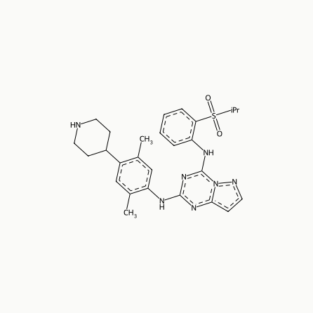 Cc1cc(C2CCNCC2)c(C)cc1Nc1nc(Nc2ccccc2S(=O)(=O)C(C)C)n2nccc2n1